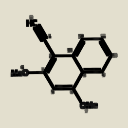 C#Cc1c(OC)cc(OC)c2ccccc12